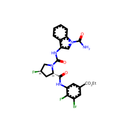 CCOC(=O)c1cc(Br)c(F)c(NC(=O)[C@@H]2C[C@@H](F)CN2C(=O)Nc2cn(C(N)=O)c3ccccc23)c1